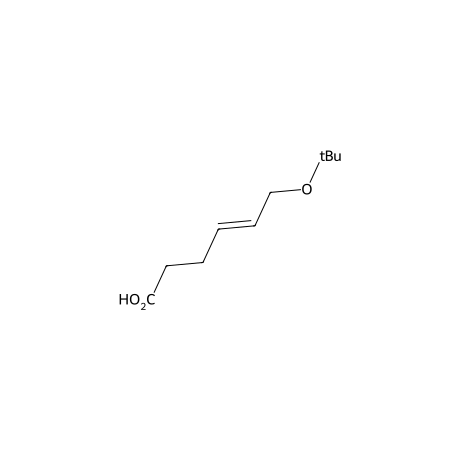 CC(C)(C)OCC=CCCC(=O)O